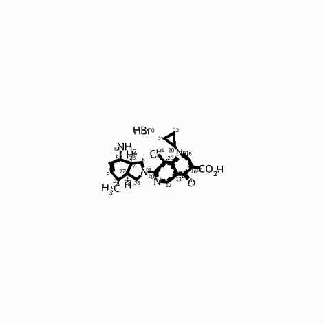 Br.C[C@H]1C=C[C@@H](N)[C@H]2CN(c3ncc4c(=O)c(C(=O)O)cn(C5CC5)c4c3Cl)C[C@H]21